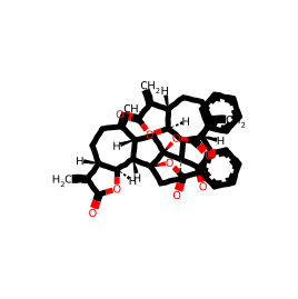 C=C1CC[C@H]2C(=C)C(=O)O[C@@H]2C2[C@H]1CC(=O)[C@]21CC[C@]2(OC(=O)c3ccccc3)[C@@H]3[C@H]4OC(=O)C(=C)[C@@H]4CCC(=C)[C@@H]3C[C@@]21OC(=O)c1ccccc1